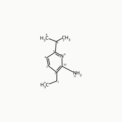 CCc1ccc(C(C)C)nc1N